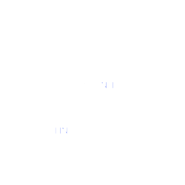 CCCC(CCNC)NCC